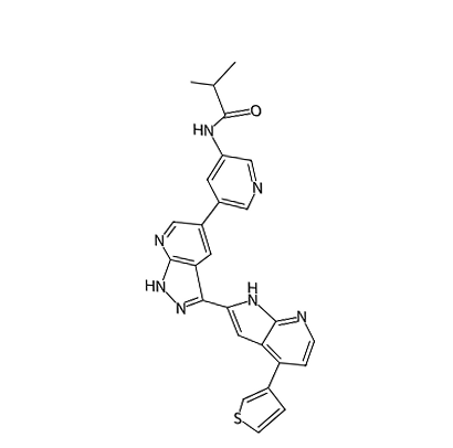 CC(C)C(=O)Nc1cncc(-c2cnc3[nH]nc(-c4cc5c(-c6ccsc6)ccnc5[nH]4)c3c2)c1